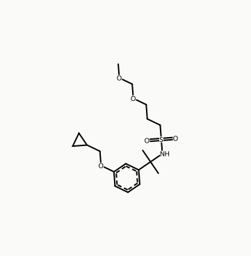 COCOCCCS(=O)(=O)NC(C)(C)c1cccc(OCC2CC2)c1